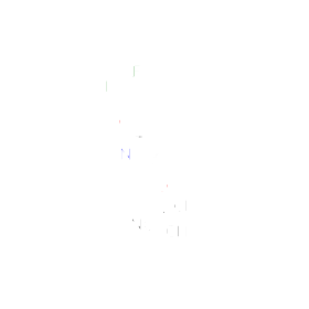 CC(C)(C#N)COc1cnc(OCC(F)F)cc1I